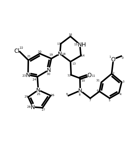 COc1cccc(CN(C)C(=O)CC2CNCCN2c2cc(Cl)nc(-n3ccnc3)n2)c1